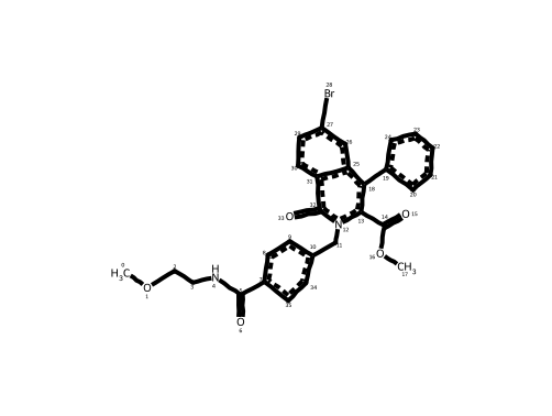 COCCNC(=O)c1ccc(Cn2c(C(=O)OC)c(-c3ccccc3)c3cc(Br)ccc3c2=O)cc1